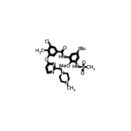 COc1c(NC(=O)c2cc(Cl)c(C)c(Oc3ccnc(CN4CCN(C)CC4)n3)c2)cc(C(C)(C)C)cc1NS(C)(=O)=O